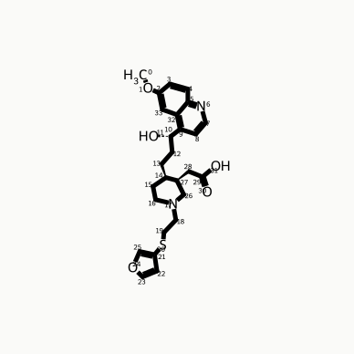 COc1ccc2nccc([C@@H](O)CC[C@@H]3CCN(CCSc4ccoc4)C[C@@H]3CC(=O)O)c2c1